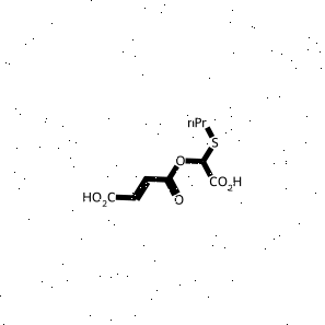 CCCSC(OC(=O)C=CC(=O)O)C(=O)O